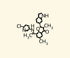 Cc1cc([C@@H](C)Nc2ccc(Cl)nc2)c2oc(-c3ccc4cc[nH]c4c3)c(C)c(=O)c2c1